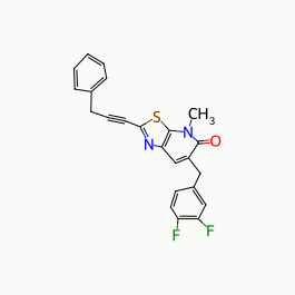 Cn1c(=O)c(Cc2ccc(F)c(F)c2)cc2nc(C#CCc3ccccc3)sc21